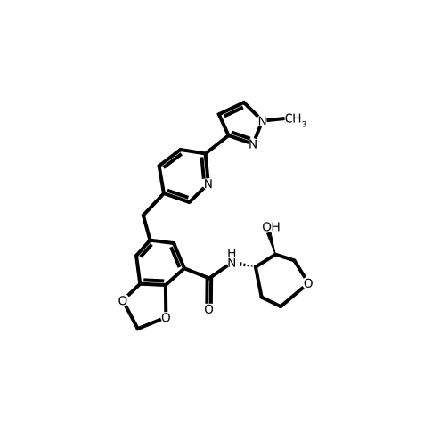 Cn1ccc(-c2ccc(Cc3cc4c(c(C(=O)N[C@H]5CCOC[C@@H]5O)c3)OCO4)cn2)n1